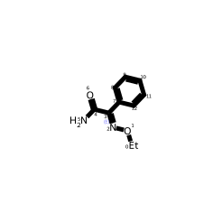 CCO/N=C(/C(N)=O)c1ccccc1